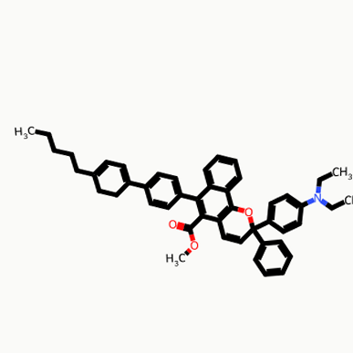 CCCCCC1=CC=C(c2ccc(-c3c(C(=O)OC)c4c(c5ccccc35)OC(c3ccccc3)(c3ccc(N(CC)CC)cc3)C=C4)cc2)CC1